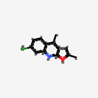 Cc1cc2c(C)c3ccc(Cl)cc3nc2o1